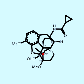 COc1ccc2c3c1O[C@H]1[C@@]4(OC)CC[C@@]5(C[C@]4(C)C=O)[C@@H](C2)C(NC(=O)C2CC2)CC[C@]315